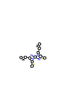 CC1(C)c2ccccc2-c2ccc(-c3ccc4c(c3)c3cc5c(cc3n4-c3cc(C#N)c(-n4c6ccc(-c7ccc8c(c7)C(C)(C)c7ccccc7-8)cc6c6cc7c(cc64)sc4ccccc47)cc3C#N)sc3ccccc35)cc21